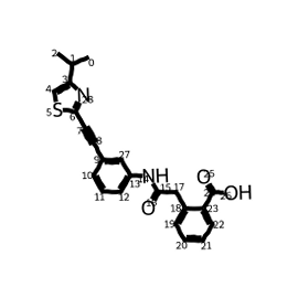 CC(C)c1csc(C#Cc2cccc(NC(=O)Cc3ccccc3C(=O)O)c2)n1